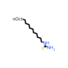 CCCCCCCCCCCCCCCCCCNC(N)=S